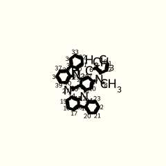 C/C=C\C(=C(C)C)N(C)c1cc(-n2c3ccccc3c3ccccc32)c(C#N)c(-n2c3ccccc3c3ccccc32)c1